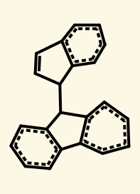 C1=CC(C2c3ccccc3-c3ccccc32)c2ccccc21